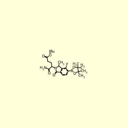 CC1c2c(ccc(B3OC(C)(C)C(C)(C)O3)c2F)C(=O)N1C(CCC(=O)OC(C)(C)C)C(N)=O